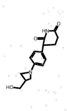 O=C1CCC(c2ccc(N3CC(CO)C3)cc2)C(=O)N1